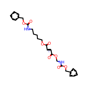 O=C(/C=C/C(=O)OCNC(=O)OCc1ccccc1)OCCCCCNC(=O)OCc1ccccc1